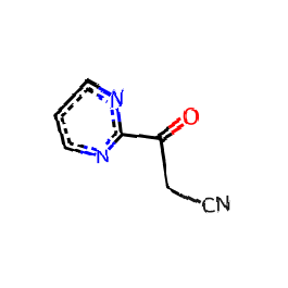 N#CCC(=O)c1ncccn1